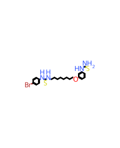 NC(=S)Nc1cccc(OCCCCCCCCNC(=S)Nc2ccc(Br)cc2)c1